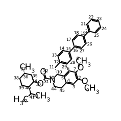 COc1cc2c(cc1OC)[C@@H](Cc1ccc(-c3ccc(-c4ccccc4)cc3)cc1)N(C(=O)OC1C[C@@H](C)CC[C@@H]1C(C)C)CC2